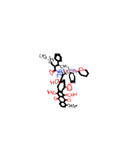 COc1cccc2c1C(=O)c1c(O)c3c(c(O)c1C2=O)C[C@@](O)(/C(CO)=N/NC(=O)C(CC(=O)O)C(C)c1ccccc1)C[C@@H]3O[C@@H]1CC[C@@H](O[C@@H]2CCCCO2)[C@](C)(N)C1